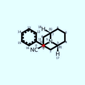 N#C[C@@H]1C[C@H]2CCC[C@@H](C1)N2Cc1ccccc1